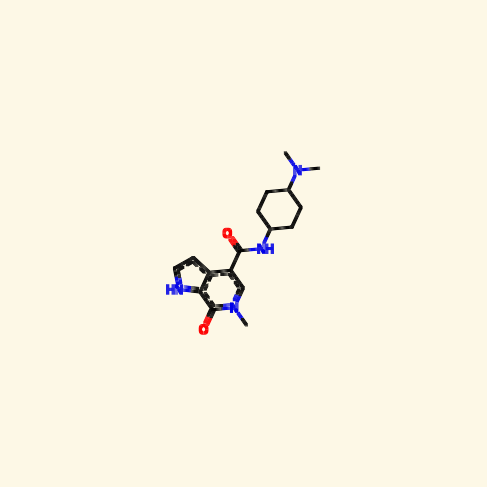 CN(C)C1CCC(NC(=O)c2cn(C)c(=O)c3[nH]ccc23)CC1